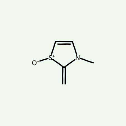 C=C1N(C)C=C[S+]1[O-]